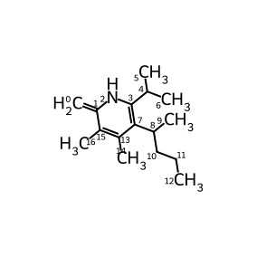 C=C1NC(C(C)C)=C(C(C)CCC)C(C)=C1C